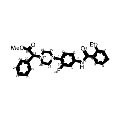 CCc1ccccc1C(=O)Nc1ccc(N2CCN(C(C(=O)OC)c3ccccc3)CC2)c(F)c1